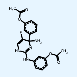 CC(=O)Oc1cccc(NC2=NC(N)(c3cccc(OC(C)=O)c3)C(F)=CN2)c1